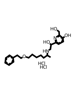 CC(CCCCCOCCc1ccccc1)NCC(O)c1ccc(O)c(CO)n1.Cl.Cl